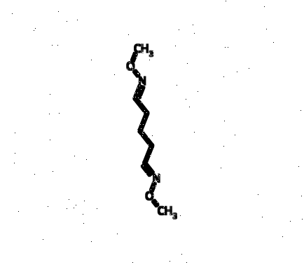 CON=CCCCC=NOC